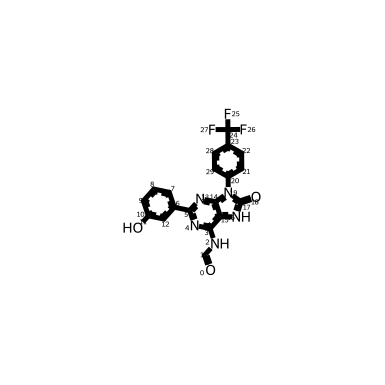 O=[C]Nc1nc(-c2cccc(O)c2)nc2c1[nH]c(=O)n2-c1ccc(C(F)(F)F)cc1